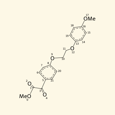 COC(=O)C(=O)c1ccc(OCCOc2ccc(OC)cc2)cc1